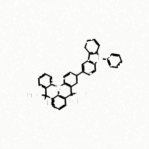 CC1(C)C2=C(C=CC(c3ccc4c(c3)c3c(p4-c4ccccc4)C=CCC3)C2)N2c3ccccc3C(C)(C)c3cccc1c32